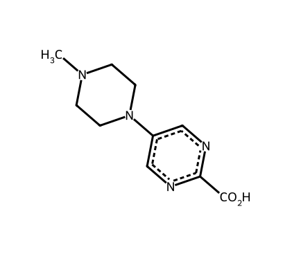 CN1CCN(c2cnc(C(=O)O)nc2)CC1